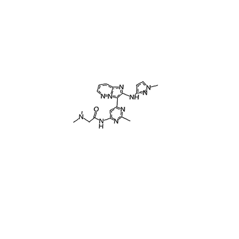 Cc1nc(NC(=O)CN(C)C)cc(-c2c(Nc3ccn(C)n3)nc3cccnn23)n1